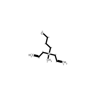 C=CC[Si](C)(CC=C)CCCCl